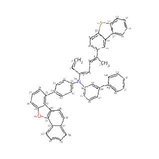 C=C/C(=C\C=C(/C)c1ccc2sc3ccccc3c2c1)N(c1ccc(-c2cccc3oc4c5ccccc5ccc4c23)cc1)c1cccc(-c2ccccc2)c1